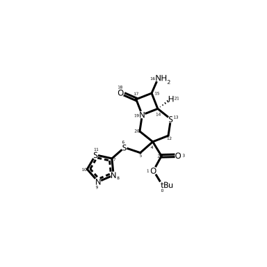 CC(C)(C)OC(=O)C1(CSc2nncs2)CS[C@@H]2C(N)C(=O)N2C1